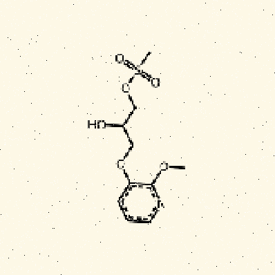 COc1ncccc1OCC(O)COS(C)(=O)=O